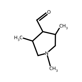 CC1CN(C)CC(C)C1C=O